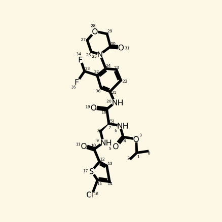 CC(C)OC(=O)N[C@@H](CNC(=O)c1ccc(Cl)s1)C(=O)Nc1ccc(N2CCOCC2=O)c(C(F)F)c1